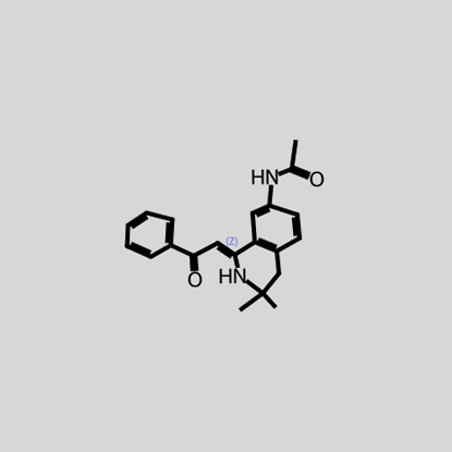 CC(=O)Nc1ccc2c(c1)/C(=C/C(=O)c1ccccc1)NC(C)(C)C2